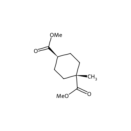 COC(=O)[C@H]1CC[C@](C)(C(=O)OC)CC1